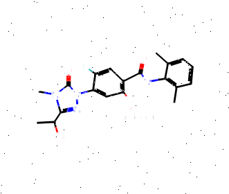 CCC[C@@H](C)Oc1cc(-n2nc(C(C)O)n(C)c2=O)c(F)cc1C(=O)Nc1c(C)cccc1C